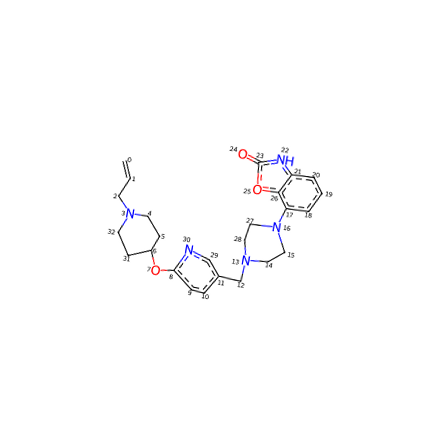 C=CCN1CCC(Oc2ccc(CN3CCN(c4cccc5[nH]c(=O)oc45)CC3)cn2)CC1